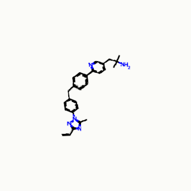 C=Cc1nc(C)n(-c2ccc(Cc3ccc(-c4ccc(CC(C)(C)N)cn4)cc3)cc2)n1